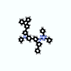 c1ccc(-c2ccc3c(c2)c2cc(-c4ccc5c(c4)c4cc(-c6ccc7c8ccccc8c8ccccc8c7c6)ccc4n5-c4ccccc4)ccc2n3-c2nc(-c3ccccc3)nc(-c3ccccc3)n2)cc1